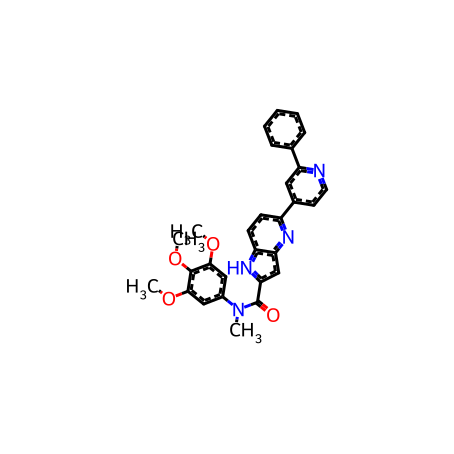 COc1cc(N(C)C(=O)c2cc3nc(-c4ccnc(-c5ccccc5)c4)ccc3[nH]2)cc(OC)c1OC